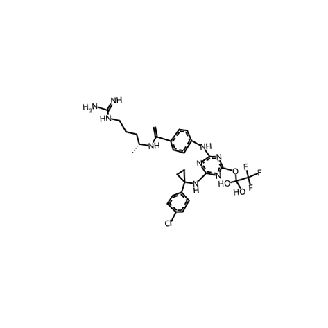 C=C(N[C@H](C)CCCNC(=N)N)c1ccc(Nc2nc(NC3(c4ccc(Cl)cc4)CC3)nc(OC(O)(O)C(F)(F)F)n2)cc1